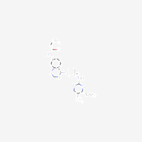 C=CC(=O)Nc1ccc2c(N3CC[C@@H](Nc4ncc(C(F)(F)F)c(NC)n4)C3)ncnc2c1